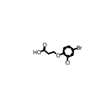 O=C(O)CCOc1ccc(Br)cc1Cl